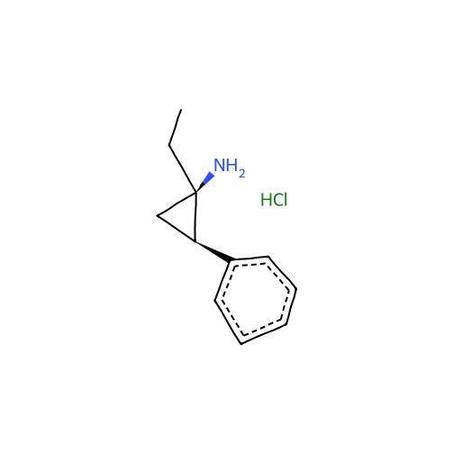 CC[C@@]1(N)C[C@@H]1c1ccccc1.Cl